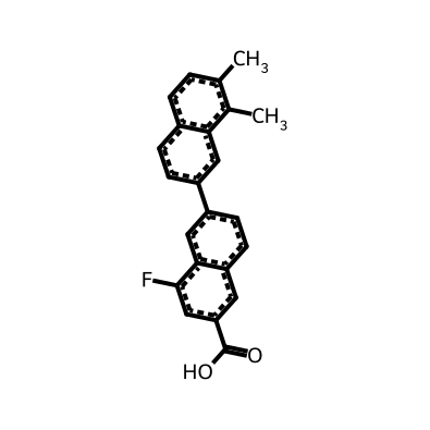 Cc1ccc2ccc(-c3ccc4cc(C(=O)O)cc(F)c4c3)cc2c1C